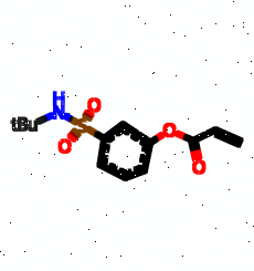 C=CC(=O)Oc1cccc(S(=O)(=O)NC(C)(C)C)c1